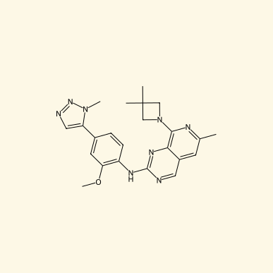 COc1cc(-c2cnnn2C)ccc1Nc1ncc2cc(C)nc(N3CC(C)(C)C3)c2n1